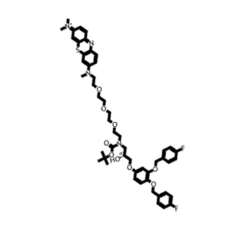 CN(CCOCCOCCOCCN(C[C@@H](O)COc1ccc(OCc2ccc(F)cc2)c(OCc2ccc(F)cc2)c1)C(=O)OC(C)(C)C)c1ccc2nc3ccc(=[N+](C)C)cc-3sc2c1